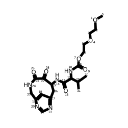 COCCOCCOC(=O)NC(C(=O)NC1Cc2cc(ncn2)CNC(=O)C1=O)C(C)C